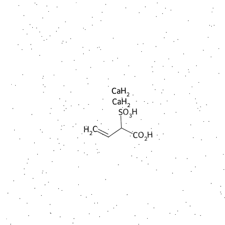 C=CC(C(=O)O)S(=O)(=O)O.[CaH2].[CaH2]